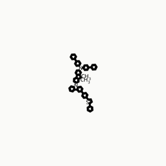 CC1(C)c2cc(N(c3ccc(-c4ccccc4)cc3)c3ccc(-c4ccccc4)cc3)ccc2-c2ccc(-n3c4ccccc4c4cc(-c5ccc(-c6ccc(-c7ccccc7)s6)cc5)ccc43)cc21